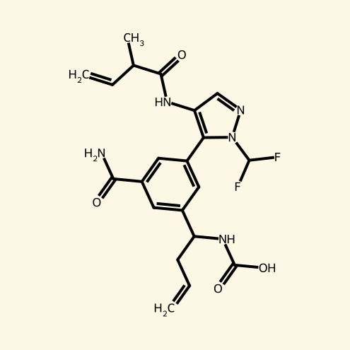 C=CCC(NC(=O)O)c1cc(C(N)=O)cc(-c2c(NC(=O)C(C)C=C)cnn2C(F)F)c1